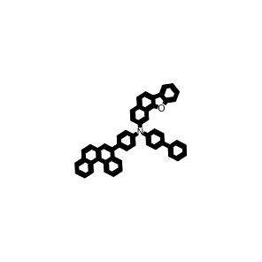 c1ccc(-c2ccc(N(c3ccc(-c4cc5ccc6ccccc6c5c5ccccc45)cc3)c3ccc4ccc5c6ccccc6oc5c4c3)cc2)cc1